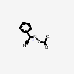 N#C/C(=N\OC(=O)Cl)c1ccccc1